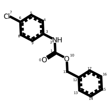 O=C(Nc1ccc(Cl)cc1)OCc1ccccc1